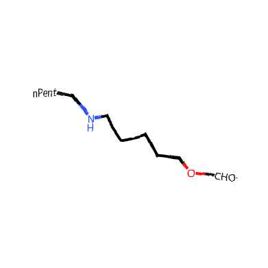 CCCCCCNCCCCCO[C]=O